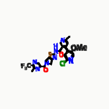 COc1cnc(Cl)cc1-c1cc(C)ncc1C(=O)Nc1nc2c(s1)CN(C(=O)c1cnc(C(F)(F)F)c(C)n1)C2